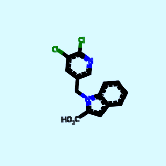 O=C(O)c1cc2ccccc2n1Cc1cnc(Cl)c(Cl)c1